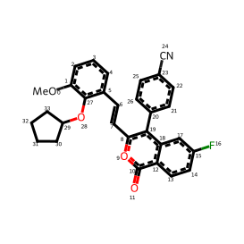 COc1cccc(C=Cc2oc(=O)c3ccc(F)cc3c2-c2ccc(C#N)cc2)c1OC1CCCC1